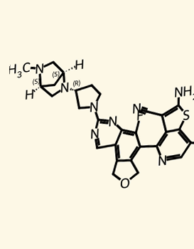 CN1C[C@@H]2C[C@H]1CN2[C@@H]1CCN(c2ncc3c4c(c(-c5ncc(F)c6sc(N)c(C#N)c56)c(F)c3n2)COC4)C1